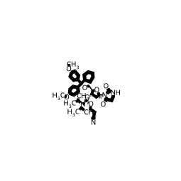 COc1ccc(C(OC[C@H]2O[C@@H](n3c(=O)cc[nH]c3=O)C[C@@H]2OP(OCCC#N)N(C(C)C)C(C)C)(c2ccccc2)c2ccc(OC)cc2)cc1